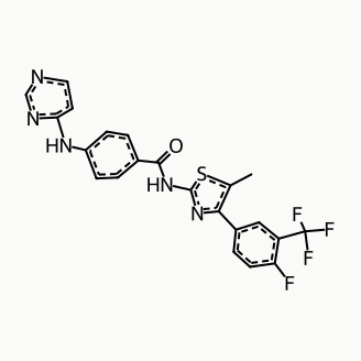 Cc1sc(NC(=O)c2ccc(Nc3ccncn3)cc2)nc1-c1ccc(F)c(C(F)(F)F)c1